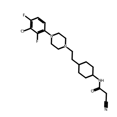 N#CCC(=O)NC1CCC(CCN2CCN(c3ccc(F)c(Cl)c3F)CC2)CC1